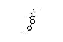 O=C(O)CNC(=O)C1=C(O)c2cc(-c3ccc(C(=O)O)cc3)ccc2C1=O